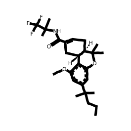 CCCC(C)(C)c1cc(OC)c2c(c1)OC(C)(C)[C@@H]1CC=C(C(=O)NC(C)(C)C(F)(F)F)C[C@@H]21